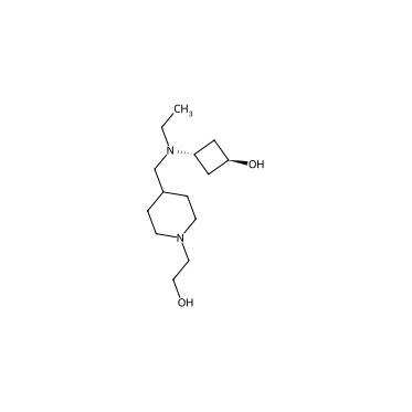 CCN(CC1CCN(CCO)CC1)[C@H]1C[C@H](O)C1